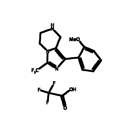 COc1ccccc1-c1nc(C(F)(F)F)n2c1CNCC2.O=C(O)C(F)(F)F